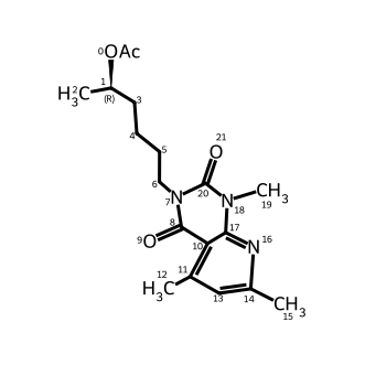 CC(=O)O[C@H](C)CCCCn1c(=O)c2c(C)cc(C)nc2n(C)c1=O